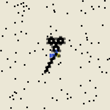 CCCCCCCCNC(=S)N1CCC(C(c2ccccc2)c2ccccc2)CC1